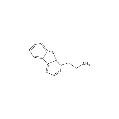 CCCc1cccc2c1[N]c1ccccc1-2